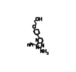 CCCc1nc(N)nc2ccc(-c3ccc(OCCO)cc3)nc12